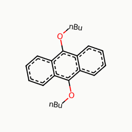 CCCCOc1c2ccccc2c(OCCCC)c2ccccc12